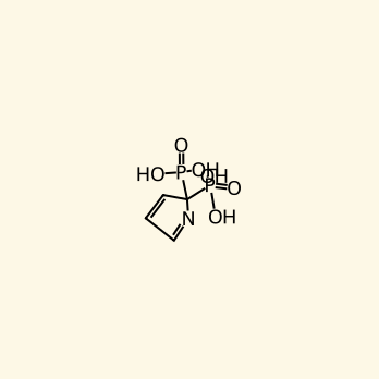 O=P(O)(O)C1(P(=O)(O)O)C=CC=N1